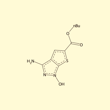 CCCCOC(=O)c1cc2c(N)nn(O)c2s1